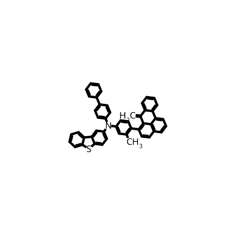 C=c1c2ccccc2c2cccc3ccc(-c4ccc(N(c5ccc(-c6ccccc6)cc5)c5ccc6sc7ccccc7c6c5)cc4C)c1c32